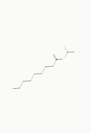 CCCCCCCCCCC(CCCCCCCC)OC(=O)CCCCCCCBr